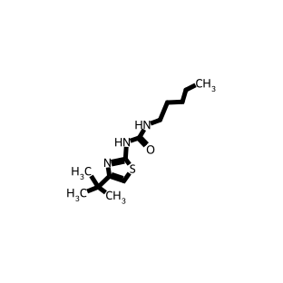 CCCCCNC(=O)Nc1nc(C(C)(C)C)cs1